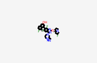 CCc1c(F)ccc2cc(O)cc(-c3c(F)cc4c(N5CCCn6nncc6C5)nc(OC[C@@]56CCCN5C[C@H](F)C6)nc4c3F)c12